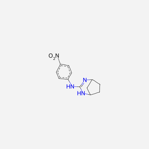 O=[N+]([O-])c1ccc(NC2=NC3CCC(C3)N2)cc1